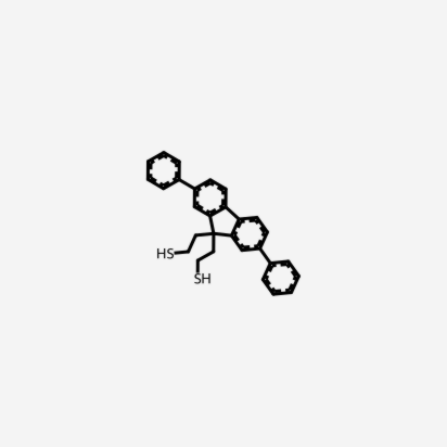 SCCC1(CCS)c2cc(-c3ccccc3)ccc2-c2ccc(-c3ccccc3)cc21